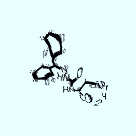 CC(C)C[C@H](NC(=O)NN=C(c1ccccc1)c1ccccc1)C(=O)O